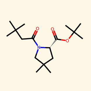 CC(C)(C)CC(=O)N1CC(C)(C)C[C@H]1C(=O)OC(C)(C)C